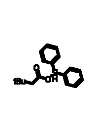 CC(C)(C)CC(=O)O[SiH](c1ccccc1)c1ccccc1